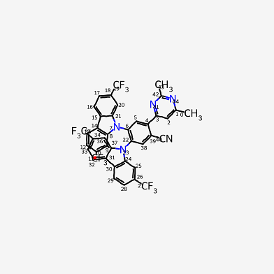 Cc1cc(-c2cc(-n3c4cc(C(F)(F)F)ccc4c4ccc(C(F)(F)F)cc43)c(-n3c4cc(C(F)(F)F)ccc4c4ccc(C(F)(F)F)cc43)cc2C#N)nc(C)n1